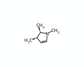 C[C@@H]1C=CN(C)[C@@H]1C